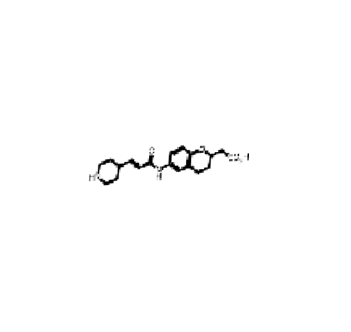 O=C(O)CC1CCc2cc(NC(=O)C=CC3CCNCC3)ccc2O1